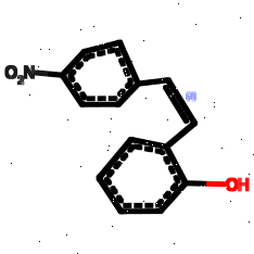 O=[N+]([O-])c1ccc(/C=C\c2ccccc2O)cc1